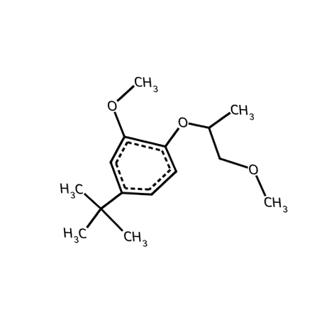 COCC(C)Oc1ccc(C(C)(C)C)cc1OC